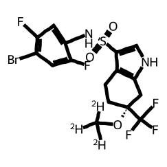 [2H]C([2H])([2H])O[C@]1(C(F)(F)F)CCc2c(S(=O)(=O)Nc3cc(F)c(Br)cc3F)c[nH]c2C1